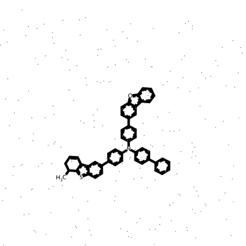 CC1CC=Cc2c1sc1ccc(-c3ccc(N(c4ccc(-c5ccccc5)cc4)c4ccc(-c5ccc6oc7ccccc7c6c5)cc4)cc3)cc21